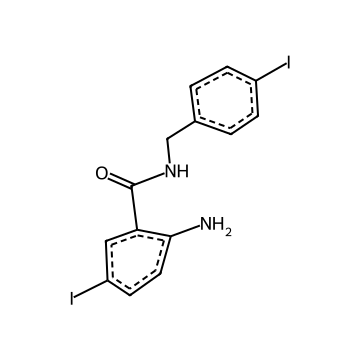 Nc1ccc(I)cc1C(=O)NCc1ccc(I)cc1